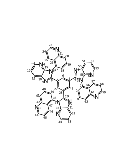 c1cc(-n2c(-c3cc(-c4nc5cccnc5n4-c4cccc5ncccc45)cc(-c4nc5cccnc5n4-c4cccc5ncccc45)c3)nc3cccnc32)c2cccnc2c1